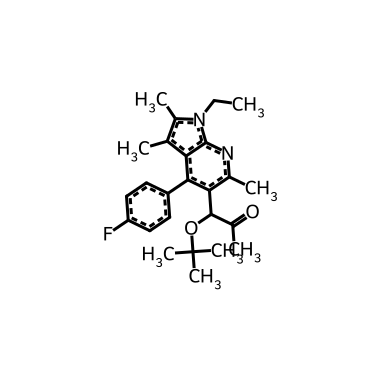 CCn1c(C)c(C)c2c(-c3ccc(F)cc3)c(C(OC(C)(C)C)C(C)=O)c(C)nc21